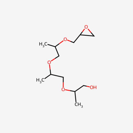 CC(CO)OCC(C)OCC(C)OCC1CO1